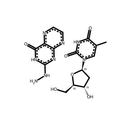 Cc1cn([C@H]2C[C@H](O)[C@@H](CO)O2)c(=O)[nH]c1=O.NNc1nc2nccnc2c(=O)[nH]1